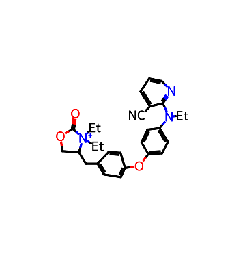 CCN(c1ccc(Oc2ccc(CC3COC(=O)[N+]3(CC)CC)cc2)cc1)c1ncccc1C#N